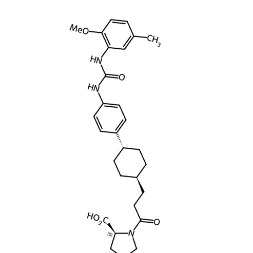 COc1ccc(C)cc1NC(=O)Nc1ccc([C@H]2CC[C@H](CCC(=O)N3CCC[C@H]3C(=O)O)CC2)cc1